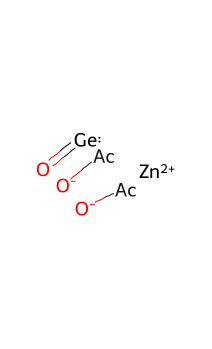 CC(=O)[O-].CC(=O)[O-].[O]=[Ge].[Zn+2]